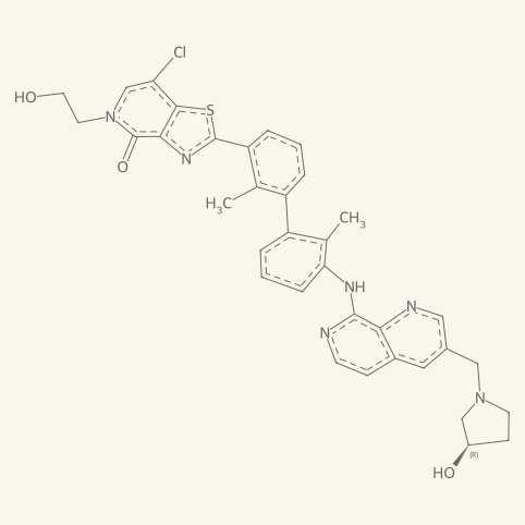 Cc1c(Nc2nccc3cc(CN4CC[C@@H](O)C4)cnc23)cccc1-c1cccc(-c2nc3c(=O)n(CCO)cc(Cl)c3s2)c1C